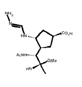 CCC[C@](C)(OC)[C@H](NC(C)=O)[C@@H]1C[C@H](C(=O)O)C[C@H]1NC=NN